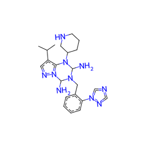 CC(C)c1cnn2c1N(C1CCCNC1)C(N)N(Cc1ccccc1-n1cncn1)C2N